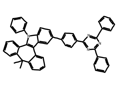 CC1(C)c2ccccc2-c2c(n(-c3ccccc3)c3ccc(-c4ccc(-c5nc(-c6ccccc6)nc(-c6ccccc6)n5)cc4)cc23)-c2ccccc21